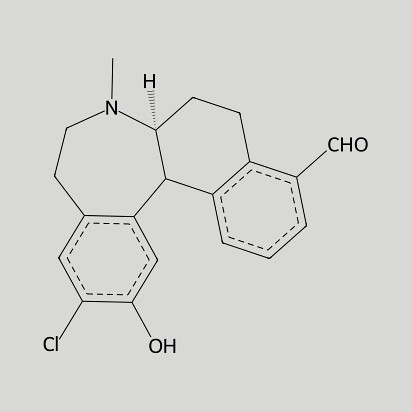 CN1CCc2cc(Cl)c(O)cc2C2c3cccc(C=O)c3CC[C@@H]21